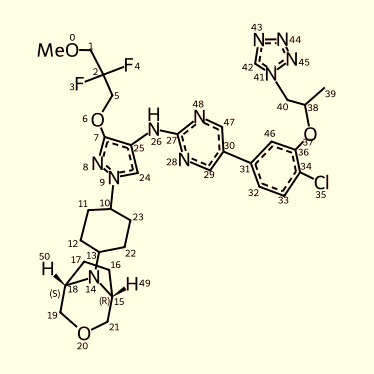 COCC(F)(F)COc1nn(C2CCC(N3[C@@H]4CC[C@H]3COC4)CC2)cc1Nc1ncc(-c2ccc(Cl)c(OC(C)Cn3cnnn3)c2)cn1